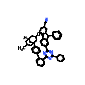 C[C@@H]1C[C@@H]2C[C@H](C)CC(c3ccc(-c4ccccc4-c4nc(-c5ccccc5)nc(-c5ccc6c(c5)C(c5ccccc5)c5cc(C#N)ccc5-6)n4)cc3)(C1)C2